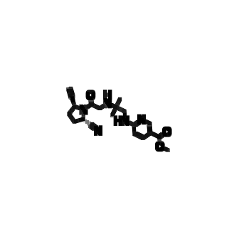 C#C[C@@H]1CC[C@@H](C#N)N1C(=O)CNC(C)(C)CNc1ccc(C(=O)OC)cn1